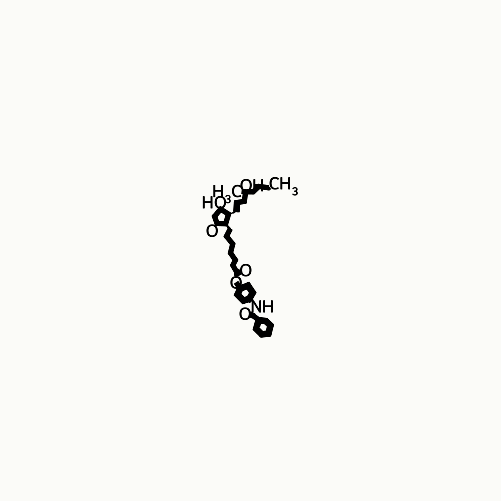 CCCCC(C)(O)C/C=C/[C@H]1[C@H](O)CC(=O)[C@@H]1CCCCCCC(=O)Oc1ccc(NC(=O)c2ccccc2)cc1